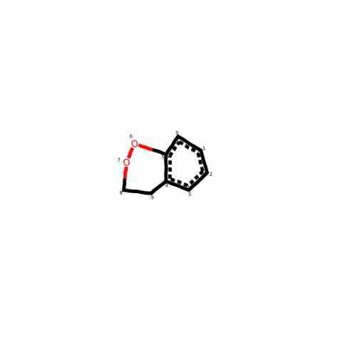 [c]1cccc2c1OOCC2